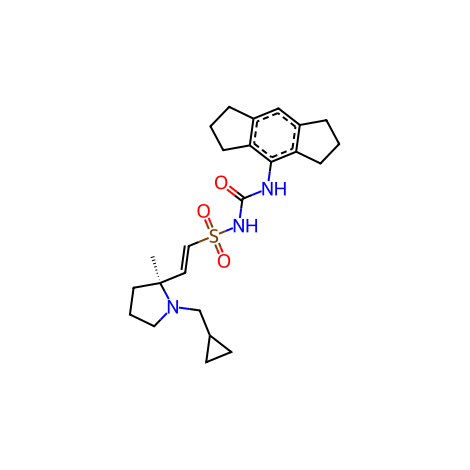 C[C@@]1(/C=C/S(=O)(=O)NC(=O)Nc2c3c(cc4c2CCC4)CCC3)CCCN1CC1CC1